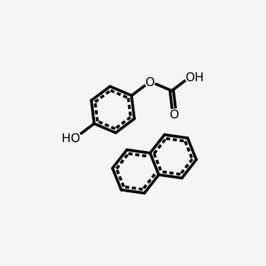 O=C(O)Oc1ccc(O)cc1.c1ccc2ccccc2c1